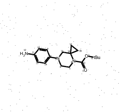 CC(C)(C)OC(=O)N1CCN(c2ccc(N)cc2)CC12CC2